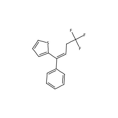 FC(F)(F)CC=C(c1ccccc1)c1cccs1